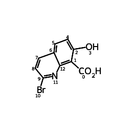 O=C(O)c1c(O)ccc2ccc(Br)nc12